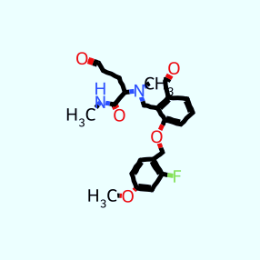 CNC(=O)C(CCC=O)N(C)Cc1c(C=O)cccc1OCc1ccc(OC)cc1F